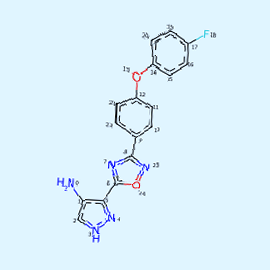 Nc1c[nH]nc1-c1nc(-c2ccc(Oc3ccc(F)cc3)cc2)no1